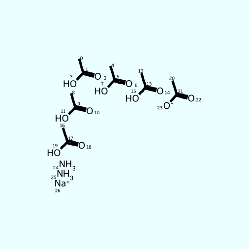 CC(=O)O.CC(=O)O.CC(=O)O.CC(=O)O.CC(=O)O.CC(=O)[O-].N.N.[Na+]